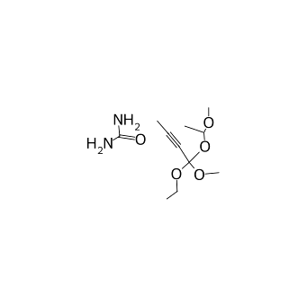 CC#CC(OC)(OCC)OC(C)OC.NC(N)=O